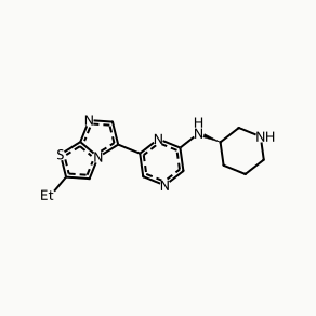 CCc1cn2c(-c3cncc(N[C@@H]4CCCNC4)n3)cnc2s1